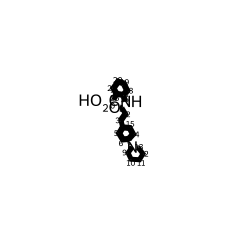 O=C(C=Cc1ccc(N2CCCCC2)cc1)Nc1ccccc1C(=O)O